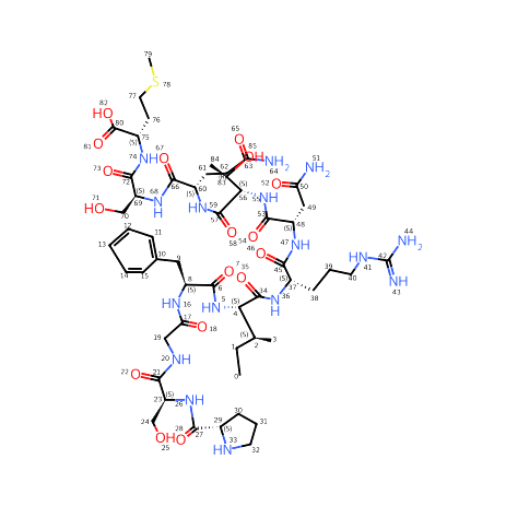 CC[C@H](C)[C@H](NC(=O)[C@H](Cc1ccccc1)NC(=O)CNC(=O)[C@H](CO)NC(=O)[C@@H]1CCCN1)C(=O)N[C@@H](CCCNC(=N)N)C(=O)N[C@@H](CC(N)=O)C(=O)N[C@H](C(=O)N[C@@H](CCC(N)=O)C(=O)N[C@@H](CO)C(=O)N[C@@H](CCSC)C(=O)O)[C@@H](C)O